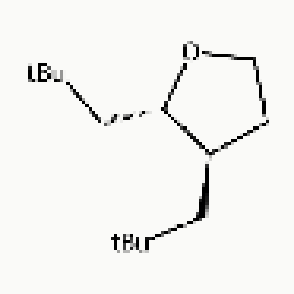 CC(C)(C)C[C@@H]1CCO[C@H]1CC(C)(C)C